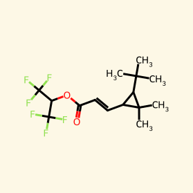 CC(C)(C)C1C(/C=C/C(=O)OC(C(F)(F)F)C(F)(F)F)C1(C)C